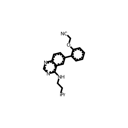 CC(C)CCNc1ncnc2ccc(-c3ccccc3OCC#N)cc12